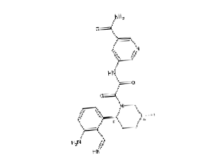 C[C@@H]1CC[C@@H](c2cccc(N)c2C=N)N(C(=O)C(=O)Nc2cncc(C(N)=O)c2)C1